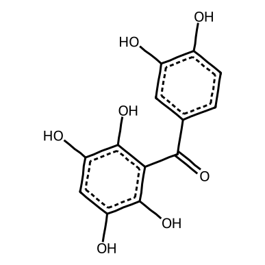 O=C(c1ccc(O)c(O)c1)c1c(O)c(O)cc(O)c1O